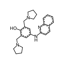 Oc1c(CN2CCCC2)cc(Nc2ccc3ccccc3n2)cc1CN1CCCC1